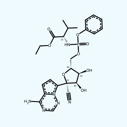 CCOC(=O)[C@@H](NP(=O)(OC[C@H]1O[C@](C#N)(c2ccc3c(N)ncnn23)[C@H](O)[C@@H]1O)Oc1ccccc1)C(C)C